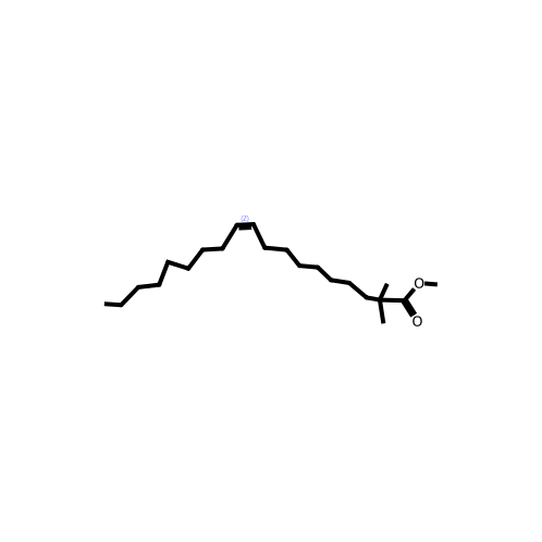 CCCCCCCC/C=C\CCCCCCCC(C)(C)C(=O)OC